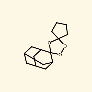 C1CCC2(C1)OOC1(O2)C2CC3CC(C2)CC1C3